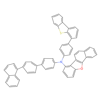 c1ccc2c(-c3ccc(-c4ccc(N(c5ccc(-c6cccc7c6sc6ccccc67)cc5)c5cccc6oc7c8ccccc8ccc7c56)cc4)cc3)cccc2c1